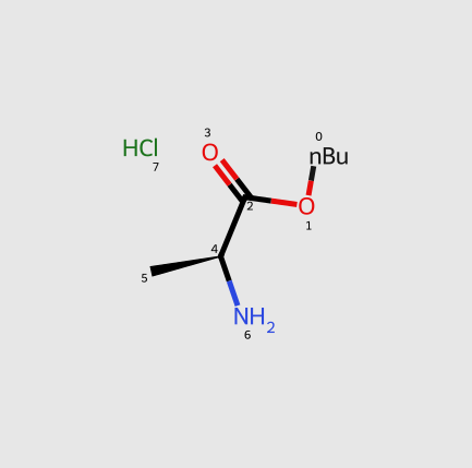 CCCCOC(=O)[C@H](C)N.Cl